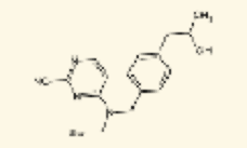 CC(O)Cc1ccc(CN(CC(C)(C)C)c2ccnc(C#N)n2)cc1